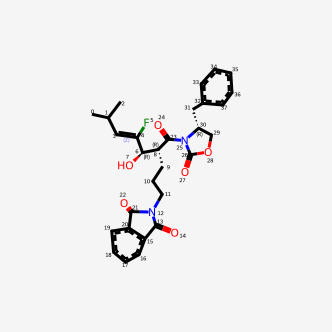 CC(C)/C=C(\F)[C@H](O)[C@@H](CCCN1C(=O)c2ccccc2C1=O)C(=O)N1C(=O)OC[C@H]1Cc1ccccc1